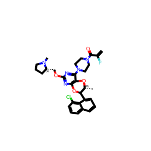 C=C(F)C(=O)N1CCN(c2nc(OC[C@@H]3CCCN3C)nc3c2O[C@H](C)C(c2cccc4cccc(Cl)c24)O3)CC1